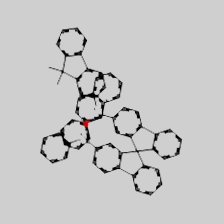 CC1(C)c2ccccc2-c2ccc(N(c3ccccc3)c3ccc4c(c3)C3(c5ccccc5-4)c4ccccc4-c4ccc(N(c5ccccc5)c5ccc6ccccc6c5)cc43)cc21